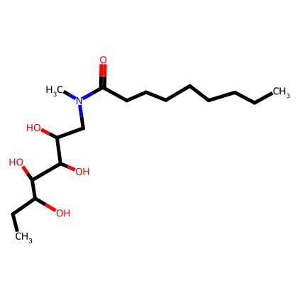 CCCCCCCCC(=O)N(C)CC(O)C(O)C(O)C(O)CC